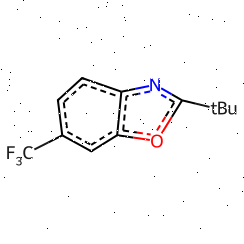 CC(C)(C)c1nc2ccc(C(F)(F)F)cc2o1